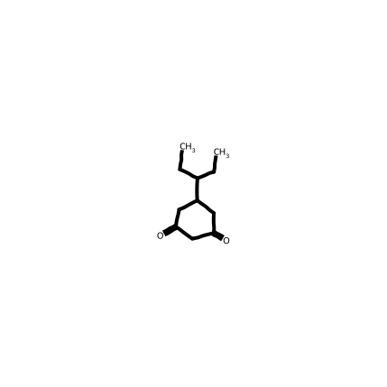 CCC(CC)C1CC(=O)CC(=O)C1